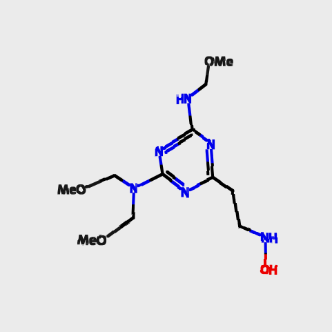 COCNc1nc(CCNO)nc(N(COC)COC)n1